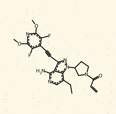 C=CC(=O)N1CCC(n2nc(C#Cc3c(F)c(OC)nc(OC)c3F)c3c(N)ncc(CC)c32)C1